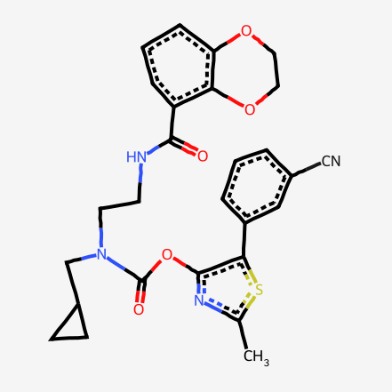 Cc1nc(OC(=O)N(CCNC(=O)c2cccc3c2OCCO3)CC2CC2)c(-c2cccc(C#N)c2)s1